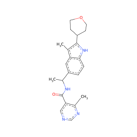 Cc1ncncc1C(=O)NC(C)c1ccc2[nH]c(C3CCOCC3)c(C)c2c1